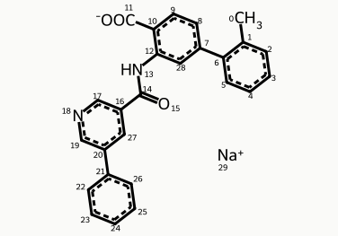 Cc1ccccc1-c1ccc(C(=O)[O-])c(NC(=O)c2cncc(-c3ccccc3)c2)c1.[Na+]